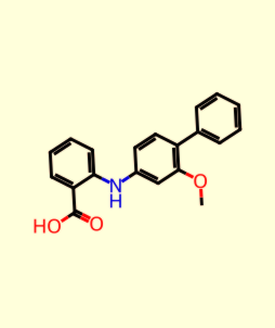 COc1cc(Nc2ccccc2C(=O)O)ccc1-c1ccccc1